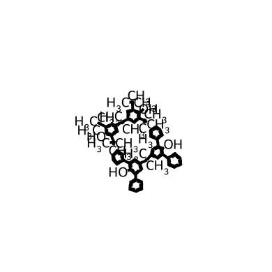 CC(C)(C)c1cc(C(C)(C)c2cc(C(C)(C)C)c(O)c(C(C)(C)C)c2)cc(C(C)(C)C)c1O.CC(C)(c1cc(-c2ccccc2)c(O)c(-c2ccccc2)c1)c1cc(-c2ccccc2)c(O)c(-c2ccccc2)c1